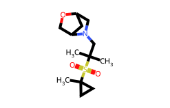 CC(C)(CN1CC2CC1CO2)S(=O)(=O)C1(C)CC1